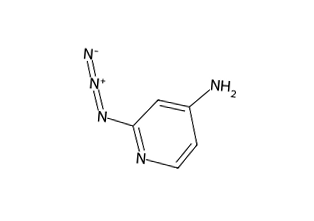 [N-]=[N+]=Nc1cc(N)ccn1